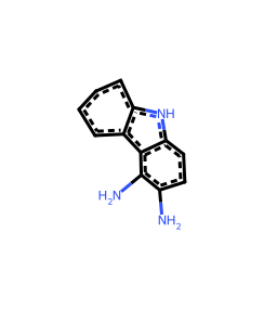 Nc1ccc2[nH]c3ccccc3c2c1N